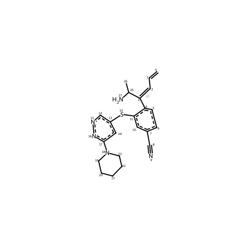 C=C/C=C(/c1ccc(C#N)cc1Sc1cnnc(N2CCCCC2)c1)C(C)N